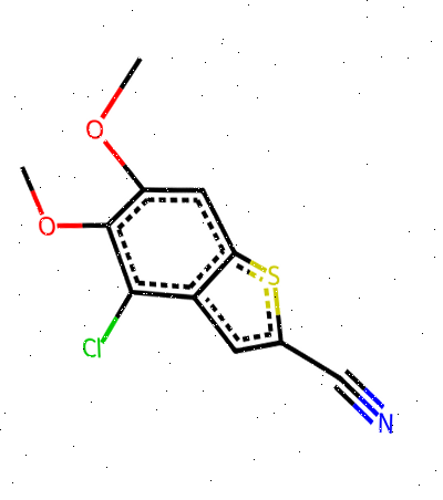 COc1cc2sc(C#N)cc2c(Cl)c1OC